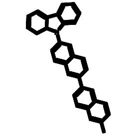 Cc1ccc2cc(-c3ccc4cc(N5c6ccccc6C6=CC=CCC65)ccc4c3)ccc2c1